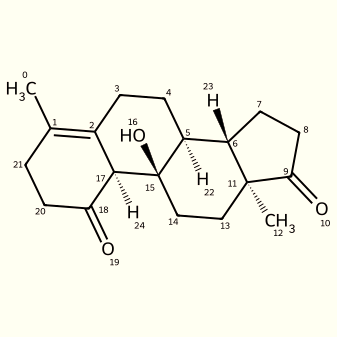 CC1=C2CC[C@H]3[C@@H]4CCC(=O)[C@@]4(C)CC[C@]3(O)[C@H]2C(=O)CC1